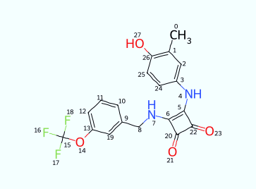 Cc1cc(Nc2c(NCc3cccc(OC(F)(F)F)c3)c(=O)c2=O)ccc1O